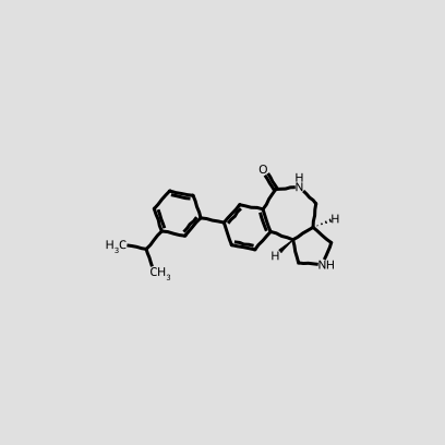 CC(C)c1cccc(-c2ccc3c(c2)C(=O)NC[C@H]2CNC[C@H]32)c1